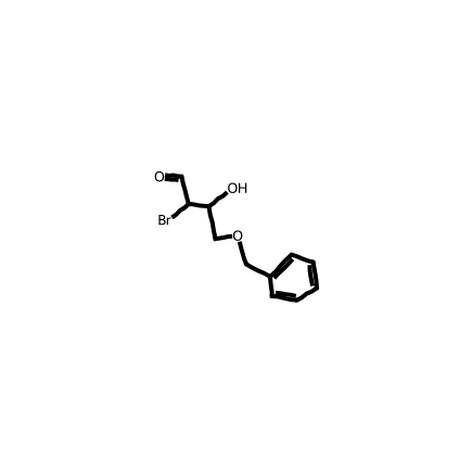 O=CC(Br)C(O)COCc1ccccc1